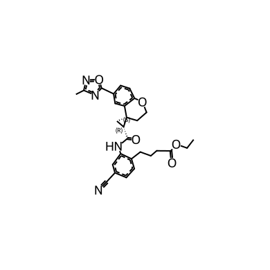 CCOC(=O)CCCc1ccc(C#N)cc1NC(=O)[C@@H]1C[C@]12CCOc1ccc(-c3nc(C)no3)cc12